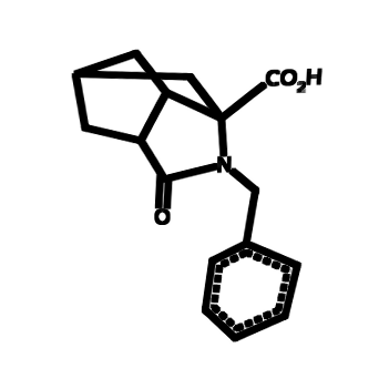 O=C1C2CC3CC2C(C(=O)O)(C3)N1Cc1ccccc1